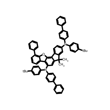 CC(C)(C)c1ccc(N(c2ccc(-c3ccccc3)cc2)c2ccc3c(c2)C(C)(C)c2cc(N(c4ccc(-c5ccccc5)cc4)c4ccc(C(C)(C)C)cc4)c4c(oc5c(-c6ccccc6)cccc54)c2-3)cc1